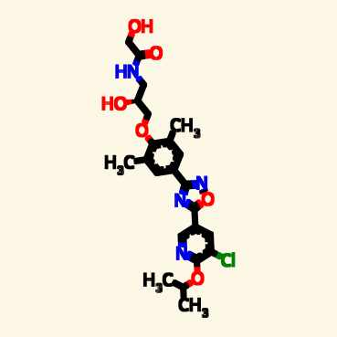 Cc1cc(-c2noc(-c3cnc(OC(C)C)c(Cl)c3)n2)cc(C)c1OC[C@@H](O)CNC(=O)CO